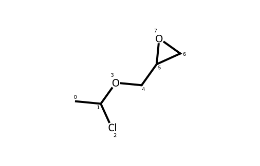 CC(Cl)OCC1CO1